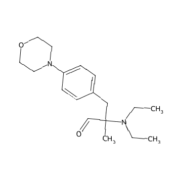 CCN(CC)C(C)(C=O)Cc1ccc(N2CCOCC2)cc1